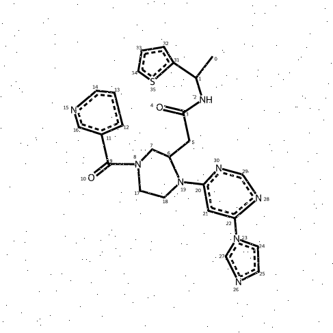 CC(NC(=O)CC1CN(C(=O)c2cccnc2)CCN1c1cc(-n2ccnc2)ncn1)c1cccs1